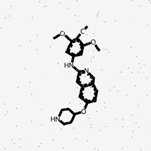 CCc1c(OC)cc(Nc2cc3cc(OC4CCNCC4)ccc3cn2)cc1OC